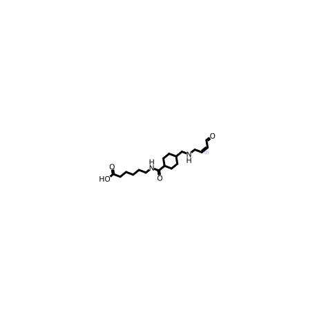 O=C/C=C\CNCC1CCC(C(=O)NCCCCCC(=O)O)CC1